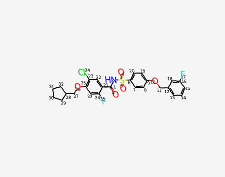 O=C(NS(=O)(=O)c1ccc(OCc2cccc(F)c2)cc1)c1cc(Cl)c(OCC2CCCC2)cc1F